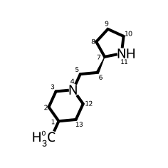 CC1CCN(CC[C@H]2CCCN2)CC1